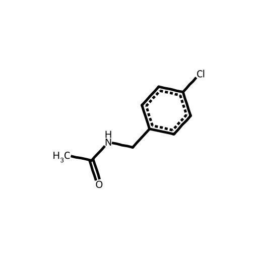 CC(=O)NCc1ccc(Cl)cc1